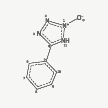 [O-][n+]1nnc(-c2ccccc2)[nH]1